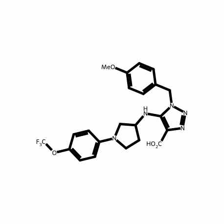 COc1ccc(Cn2nnc(C(=O)O)c2NC2CCN(c3ccc(OC(F)(F)F)cc3)C2)cc1